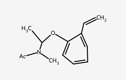 C=Cc1ccccc1OC(C)N(C)C(C)=O